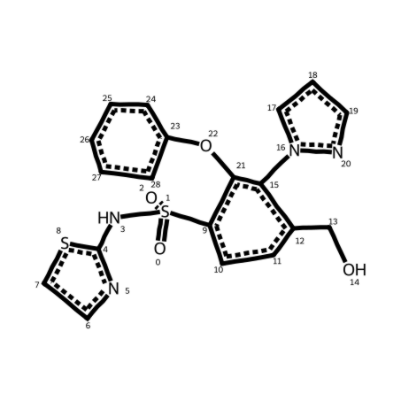 O=S(=O)(Nc1nccs1)c1ccc(CO)c(-n2cccn2)c1Oc1ccccc1